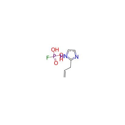 C=CCc1ncc[nH]1.O=P(O)(O)F